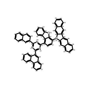 c1ccc2cc(-c3nc(-c4cc5ccccc5c5ccccc45)nc(-c4ccc(-n5c6cc7ccccc7cc6c6cc7ccccc7cc65)c5oc6ccccc6c45)n3)ccc2c1